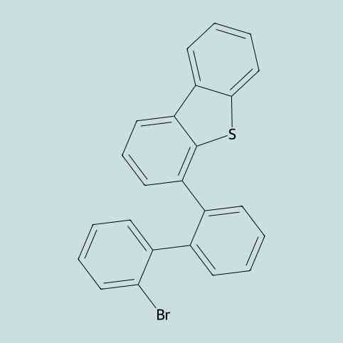 Brc1ccccc1-c1ccccc1-c1cccc2c1sc1ccccc12